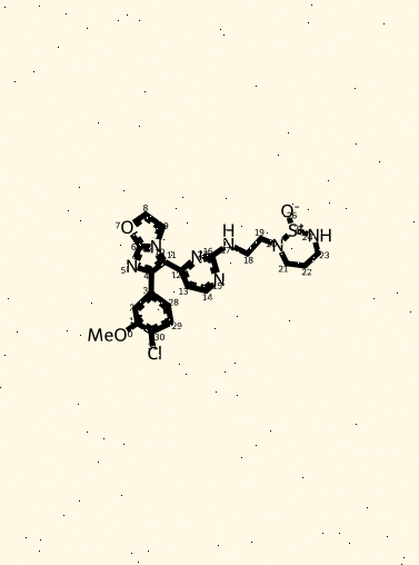 COc1cc(-c2nc3occn3c2-c2ccnc(NCCN3CCCN[S+]3[O-])n2)ccc1Cl